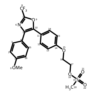 COc1ccc(-c2nc(C(F)(F)F)oc2-c2ccc(OCCOS(C)(=O)=O)cc2)cc1